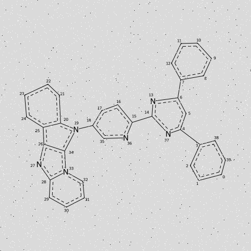 c1ccc(-c2cc(-c3ccccc3)nc(-c3ccc(-n4c5ccccc5c5nc6ccccn6c54)cn3)n2)cc1